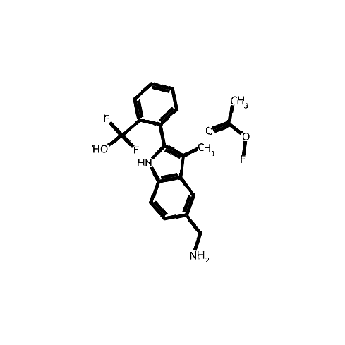 CC(=O)OF.Cc1c(-c2ccccc2C(O)(F)F)[nH]c2ccc(CN)cc12